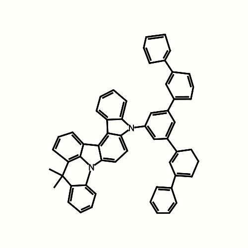 CC1(C)c2ccccc2-n2c3ccc4c(c5ccccc5n4-c4cc(C5=CC(c6ccccc6)=CCC5)cc(-c5cccc(-c6ccccc6)c5)c4)c3c3cccc1c32